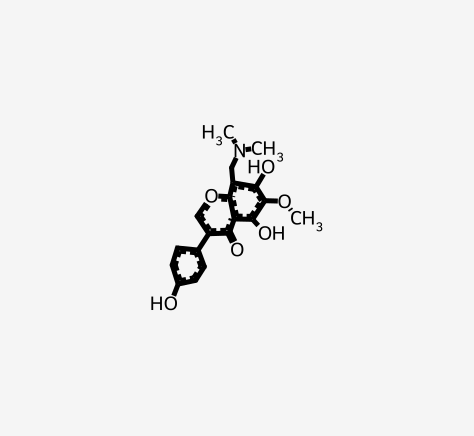 COc1c(O)c(CN(C)C)c2occ(-c3ccc(O)cc3)c(=O)c2c1O